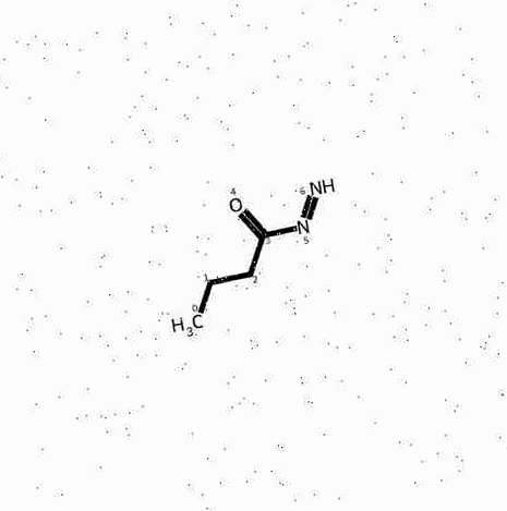 CCCC(=O)N=N